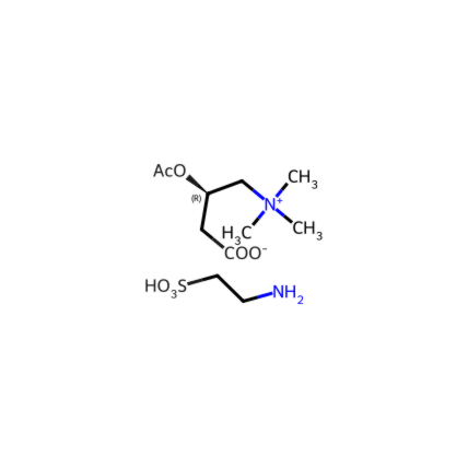 CC(=O)O[C@H](CC(=O)[O-])C[N+](C)(C)C.NCCS(=O)(=O)O